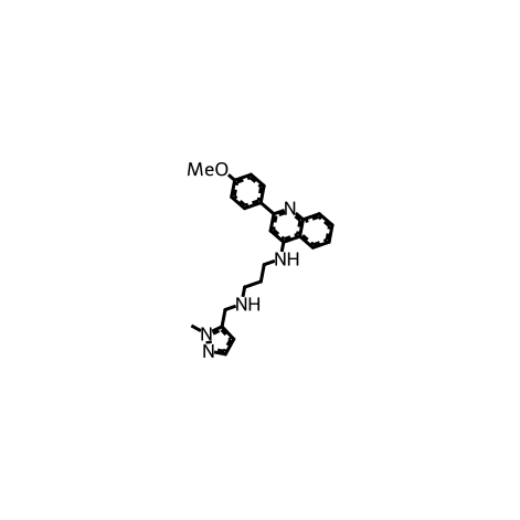 COc1ccc(-c2cc(NCCCNCc3ccnn3C)c3ccccc3n2)cc1